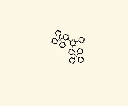 c1ccc(-c2nc(-c3cccc([Si](c4ccccc4)(c4ccccc4)c4ccccc4)c3)cc(-c3cccc([Si](c4ccccc4)(c4ccccc4)c4ccccc4)c3)n2)cc1